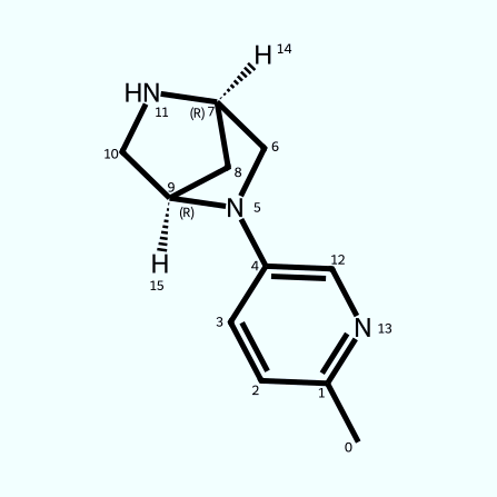 Cc1ccc(N2C[C@H]3C[C@@H]2CN3)cn1